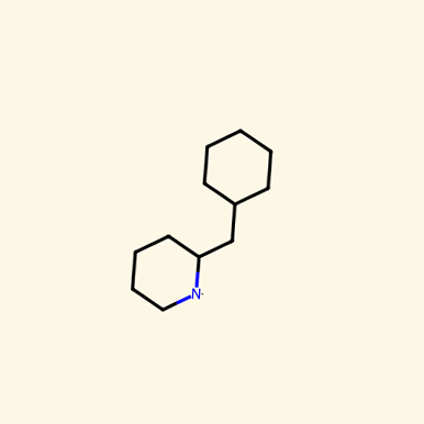 C1CCC(CC2CCCC[N]2)CC1